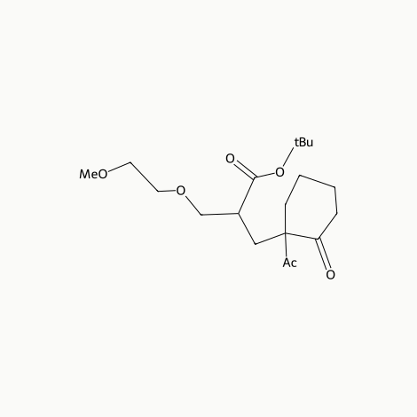 COCCOCC(CC1(C(C)=O)CCCCC1=O)C(=O)OC(C)(C)C